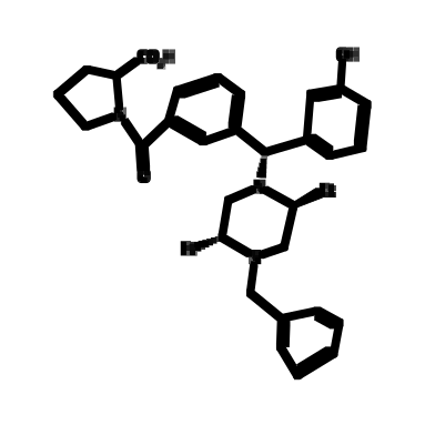 CC[C@@H]1CN([C@@H](c2cccc(O)c2)c2cccc(C(=O)N3CCCC3C(=O)O)c2)[C@@H](CC)CN1Cc1ccccc1